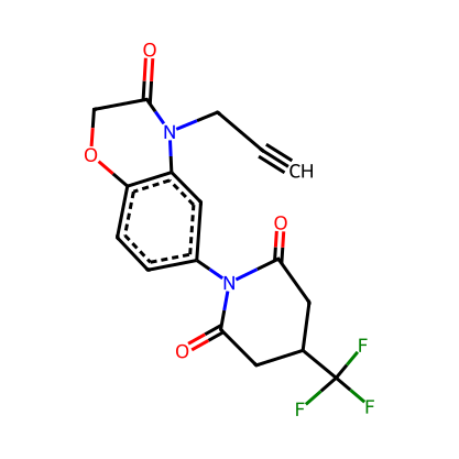 C#CCN1C(=O)COc2ccc(N3C(=O)CC(C(F)(F)F)CC3=O)cc21